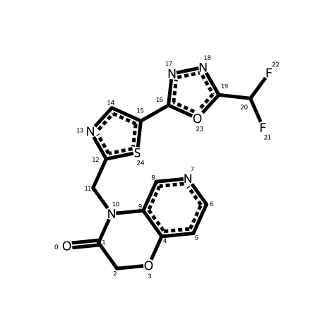 O=C1COc2ccncc2N1Cc1ncc(-c2nnc(C(F)F)o2)s1